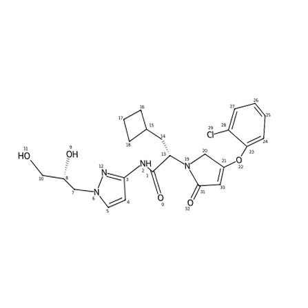 O=C(Nc1ccn(C[C@@H](O)CO)n1)[C@H](CC1CCC1)N1CC(Oc2ccccc2Cl)=CC1=O